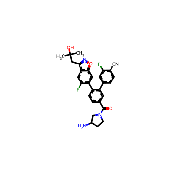 CC(C)(O)Cc1noc2cc(-c3ccc(C(=O)N4CCC(N)C4)cc3-c3ccc(C#N)c(F)c3)c(F)cc12